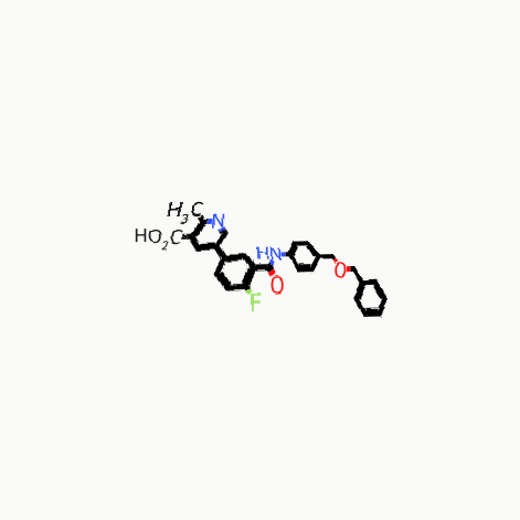 Cc1ncc(-c2ccc(F)c(C(=O)Nc3ccc(COCc4ccccc4)cc3)c2)cc1C(=O)O